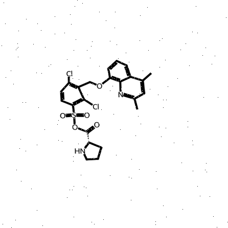 Cc1cc(C)c2cccc(OCc3c(Cl)ccc(S(=O)(=O)OC(=O)[C@@H]4CCCN4)c3Cl)c2n1